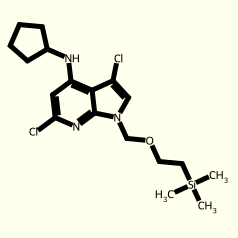 C[Si](C)(C)CCOCn1cc(Cl)c2c(NC3CCCC3)cc(Cl)nc21